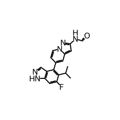 CC(C)c1c(F)cc2[nH]ncc2c1-c1ccn2nc(NC=O)cc2c1